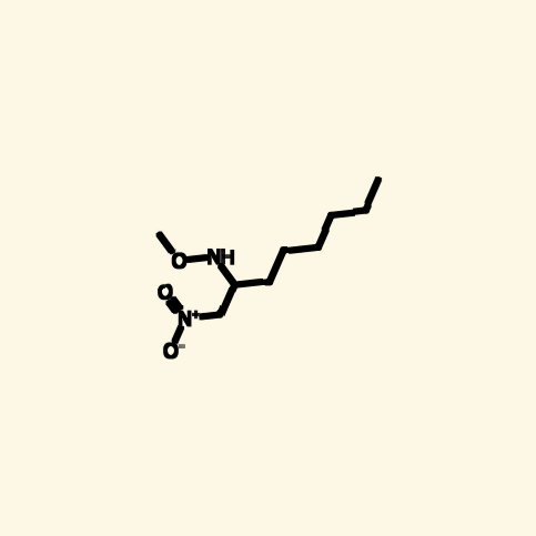 CCCCCCC(C[N+](=O)[O-])NOC